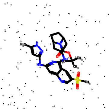 Cc1cc(Nc2cc3ncc(S(C)(=O)=O)cc3c(NC3CC4CCC(C3)N4C(=O)OC(C)(C)C)n2)n[nH]1